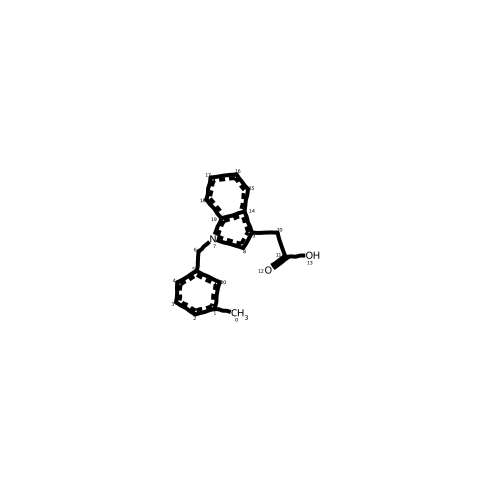 Cc1cccc(Cn2cc(CC(=O)O)c3ccccc32)c1